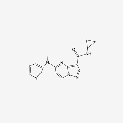 CN(c1cccnc1)c1ccn2ncc(C(=O)NC3CC3)c2n1